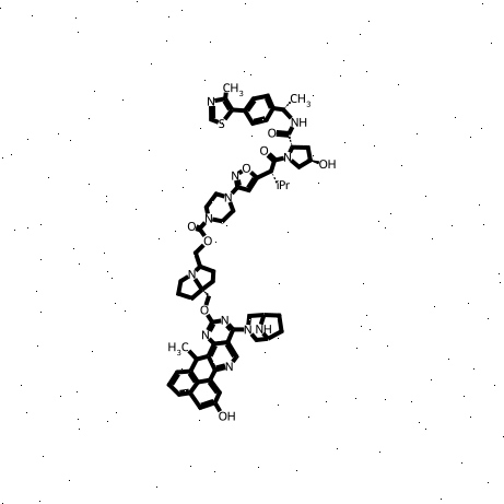 Cc1ncsc1-c1ccc([C@H](C)NC(=O)[C@@H]2C[C@@H](O)CN2C(=O)[C@@H](c2cc(N3CCN(C(=O)OCC4CC[C@@]5(COc6nc(N7CC8CCC(C7)N8)c7cnc8c(c7n6)C(C)c6cccc7cc(O)cc-8c67)CCCN45)CC3)no2)C(C)C)cc1